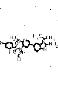 COc1ncc(-c2ccc3nc(N)n(C(C)C)c3c2)cc1N(OC=O)S(=O)(=O)c1ccc(F)cc1F